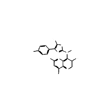 CCCC1CN=c2c(C)cc(Br)nc2=C1N(C)c1nc(-c2ccc(F)cc2)c(C#N)s1